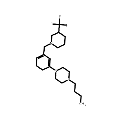 CCCCN1CCN(C2=CC(CN3CCCC(C(F)(F)F)C3)=CC[CH]2)CC1